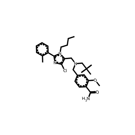 CCCCn1c(-c2ccccc2C)nc(Cl)c1CN(Cc1ccc(C(N)=O)c(OC)c1)CC(C)(C)C